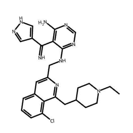 CCN1CCC(Cc2nc(CNc3ncnc(N)c3C(=N)c3cn[nH]c3)cc3cccc(Cl)c23)CC1